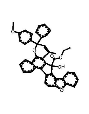 CCOC(=O)C1(O)c2c3c(c4ccccc4c2-c2ccc4oc5ccccc5c4c21)OC(c1ccccc1)(c1ccc(OC)cc1)C=C3C